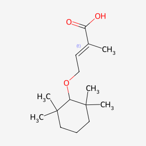 C/C(=C\COC1C(C)(C)CCCC1(C)C)C(=O)O